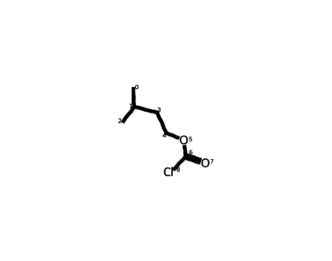 CC(C)CCOC(=O)Cl